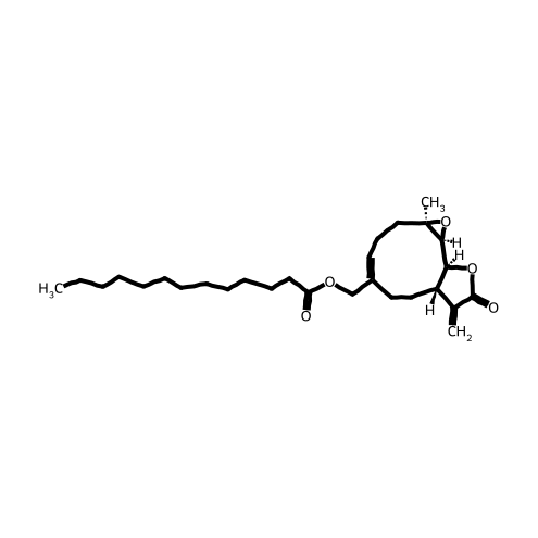 C=C1C(=O)O[C@H]2[C@H]1CC/C(COC(=O)CCCCCCCCCCCC)=C\CC[C@@]1(C)O[C@@H]21